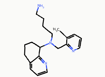 Cc1cccnc1CN(CCCCN)C1CCCc2cccnc21